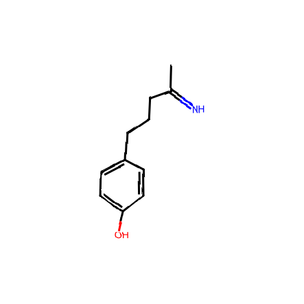 CC(=N)CCCc1ccc(O)cc1